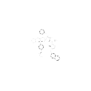 CC[C@H](C)[C@@H](C(=O)N[C@@H](Cc1ccccc1)[C@@H](O)CN(CC1CCCC1)S(=O)(=O)c1ccc(C=NO)cc1)N1CCN(Cc2ccc3ncccc3c2)C1=O